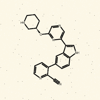 N#Cc1ncccc1-c1ccc2[nH]cc(-c3cncc(O[C@@H]4CCCNC4)n3)c2c1